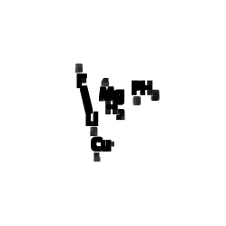 P.[Cu].[Li][F].[MgH2]